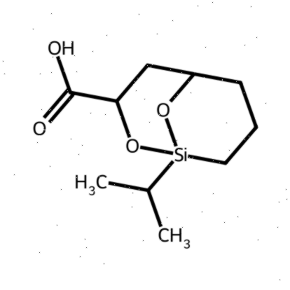 CC(C)[Si]12CCCC(CC(C(=O)O)O1)O2